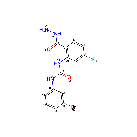 NNC(=O)c1ccc(F)cc1NC(=O)Nc1cccc(Br)c1